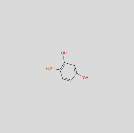 Oc1ccc(P)c(O)c1